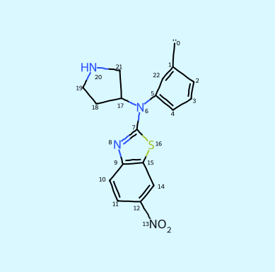 [CH]c1cccc(N(c2nc3ccc([N+](=O)[O-])cc3s2)C2CCNC2)c1